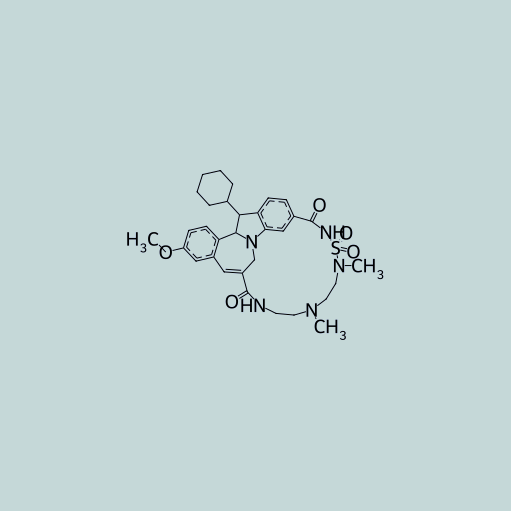 COc1ccc2c(c1)C=C1CN3c4cc(ccc4C(C4CCCCC4)C23)C(=O)NS(=O)(=O)N(C)CCN(C)CCNC1=O